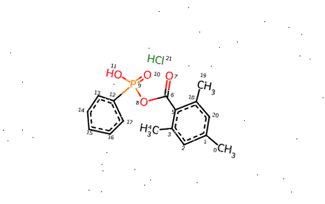 Cc1cc(C)c(C(=O)OP(=O)(O)c2ccccc2)c(C)c1.Cl